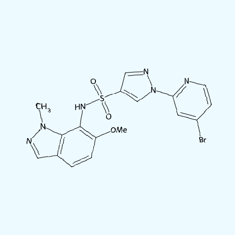 COc1ccc2cnn(C)c2c1NS(=O)(=O)c1cnn(-c2cc(Br)ccn2)c1